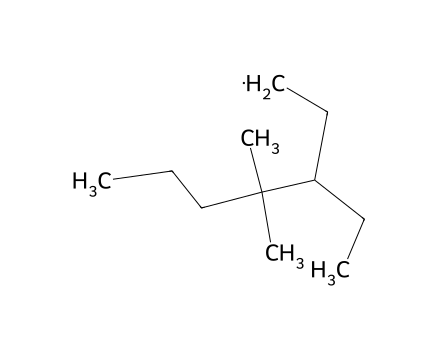 [CH2]CC(CC)C(C)(C)CCC